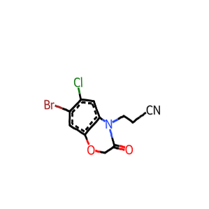 N#CCCN1C(=O)COc2cc(Br)c(Cl)cc21